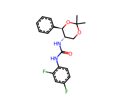 CC1(C)OC[C@H](NC(=O)Nc2ccc(F)cc2F)[C@@H](c2ccccc2)O1